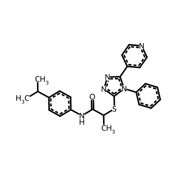 CC(Sc1nnc(-c2ccncc2)n1-c1ccccc1)C(=O)Nc1ccc(C(C)C)cc1